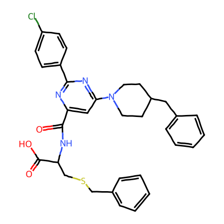 O=C(NC(CSCc1ccccc1)C(=O)O)c1cc(N2CCC(Cc3ccccc3)CC2)nc(-c2ccc(Cl)cc2)n1